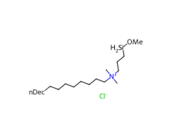 CCCCCCCCCCCCCCCCCC[N+](C)(C)CCC[SiH2]OC.[Cl-]